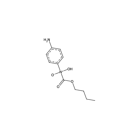 CCCCOC(=O)[N+]([O-])(O)c1ccc(N)cc1